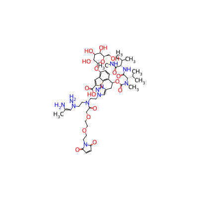 CNC(=O)[C@@H](NC(=O)[C@H](C(C)C)N(C)C(=O)OC(Cc1cn(CCN(CCN(N)/C=C(/C)N)C(=O)COCCOCCN2C(=O)C=CC2=O)nn1)c1ccc(O[C@@H]2O[C@H](CO)[C@H](O)[C@H](O)[C@H]2O)c2cc(C(=O)O)sc12)C(C)C